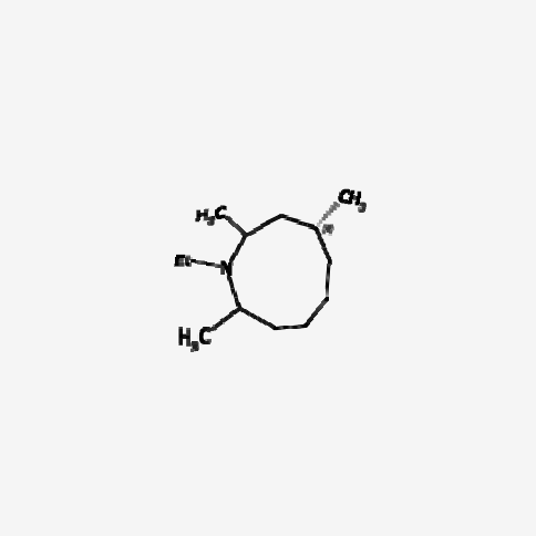 CCN1C(C)CCCC[C@@H](C)CC1C